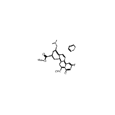 C1=CCCC=C1.CN(C)SC1=c2ccc3c(c2CC(C(=O)OC(C)(C)C)C1)CC(C=O)=c1c(Cl)cc(F)cc1=3